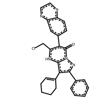 O=c1c(-c2ccc3nccnc3c2)c(CCl)[nH]c2c(C3=CCCCC3)c(-c3ccccc3)nn12